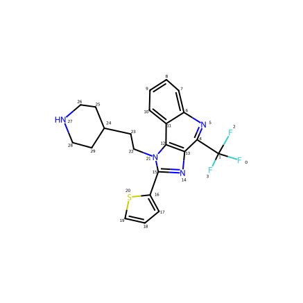 FC(F)(F)c1nc2ccccc2c2c1nc(-c1cccs1)n2CCC1CCNCC1